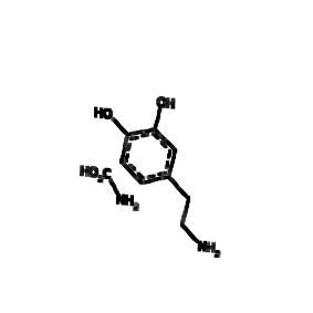 NC(=O)O.NCCc1ccc(O)c(O)c1